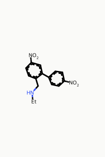 CCNCc1ccc([N+](=O)[O-])cc1-c1ccc([N+](=O)[O-])cc1